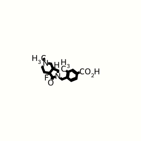 Cc1cc(C(=O)O)ccc1CN1C[C@@H]2CN(C)CC[C@]2(F)C1=O